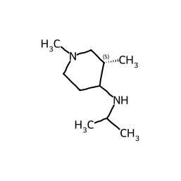 CC(C)NC1CCN(C)C[C@@H]1C